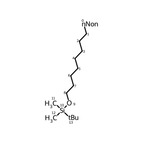 CCCCCCCCCCCCCCCCCO[Si](C)(C)C(C)(C)C